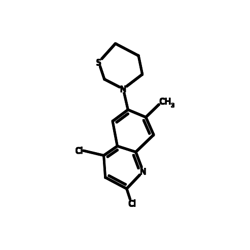 Cc1cc2nc(Cl)cc(Cl)c2cc1N1CCCSC1